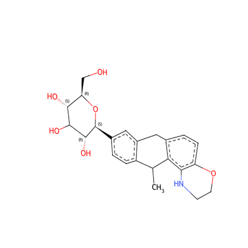 CC1c2ccc([C@@H]3O[C@H](CO)[C@@H](O)C(O)[C@H]3O)cc2Cc2ccc3c(c21)NCCO3